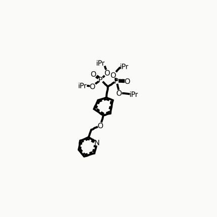 CC(C)OP(=O)(OC(C)C)C(c1ccc(OCc2ccccn2)cc1)P(=O)(OC(C)C)OC(C)C